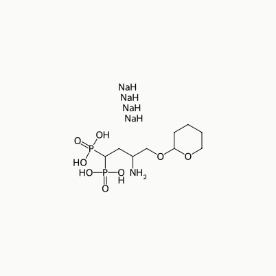 NC(COC1CCCCO1)CC(P(=O)(O)O)P(=O)(O)O.[NaH].[NaH].[NaH].[NaH]